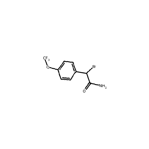 NC(=O)C(Br)c1ccc(OC(F)(F)F)cc1